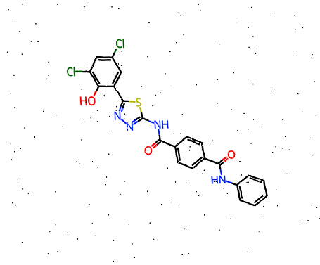 O=C(Nc1ccccc1)c1ccc(C(=O)Nc2nnc(-c3cc(Cl)cc(Cl)c3O)s2)cc1